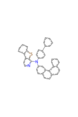 c1ccc(-c2ccc(N(c3ccc4ccc5ccc6ccccc6c5c4c3)c3nccc4c3sc3ccccc34)cc2)cc1